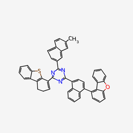 Cc1ccc2ccc(-c3nc(C4=CCCc5c4sc4ccccc54)nc(-c4ccc(-c5cccc6oc7ccccc7c56)c5ccccc45)n3)cc2c1